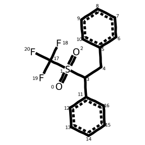 O=S(=O)(C(Cc1ccccc1)c1ccccc1)C(F)(F)F